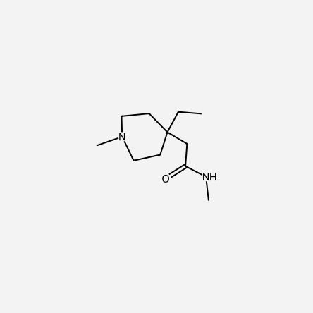 CCC1(CC(=O)NC)CCN(C)CC1